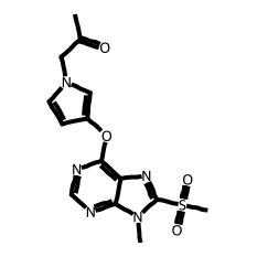 CC(=O)Cn1ccc(Oc2ncnc3c2nc(S(C)(=O)=O)n3C)c1